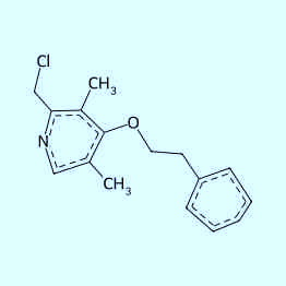 Cc1cnc(CCl)c(C)c1OCCc1ccccc1